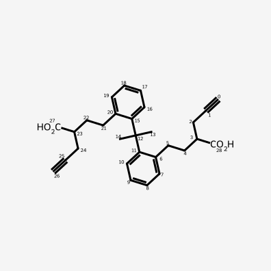 C#CCC(CCc1ccccc1C(C)(C)c1ccccc1CCC(CC#C)C(=O)O)C(=O)O